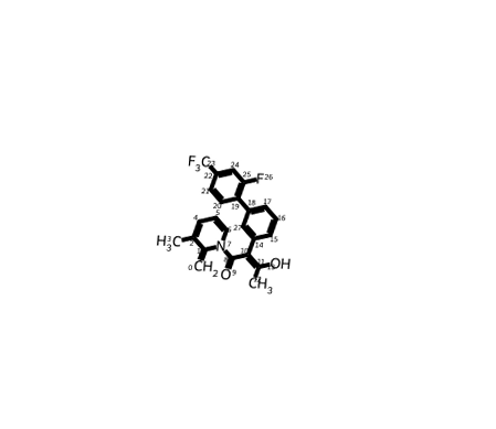 C=C1C(C)=CC=CN1C(=O)/C(=C(\C)O)c1cccc(-c2ccc(C(F)(F)F)cc2F)c1